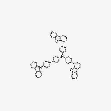 c1ccc2c(c1)oc1c(-c3ccc(N(c4ccc(-c5ccc(-n6c7ccccc7c7ccccc76)cc5)cc4)c4ccc(-c5cccc6c5oc5ccccc56)cc4)cc3)cccc12